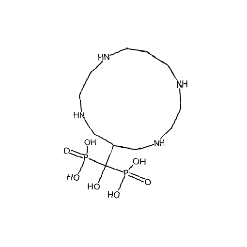 O=P(O)(O)C(O)(C1CNCCNCCCNCCNC1)P(=O)(O)O